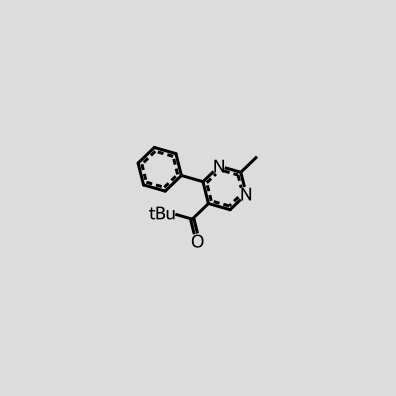 Cc1ncc(C(=O)C(C)(C)C)c(-c2ccccc2)n1